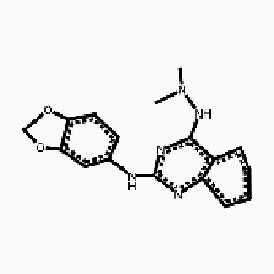 CN(C)Nc1nc(Nc2ccc3c(c2)OCO3)nc2ccccc12